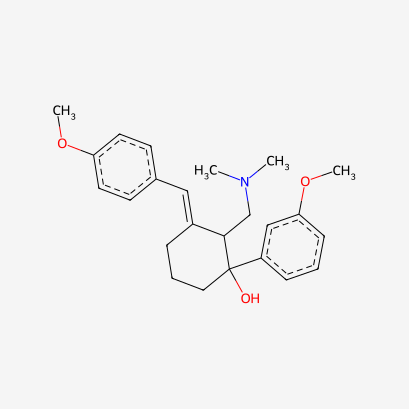 COc1ccc(C=C2CCCC(O)(c3cccc(OC)c3)C2CN(C)C)cc1